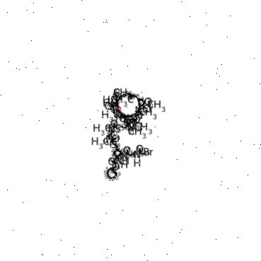 COc1cc2cc(c1Cl)N(C)C(=O)C[C@H](OC(=O)[C@H](C)N(C)C(=O)CCSC(=O)N(C)CCN(C)C(=O)OCc1ccc(NC(=O)OC3/C=C/CCCCC3)c(NC(=O)CCNC(=O)CBr)c1)C1(C)O[C@H]1[C@H](C)[C@@H]1C[C@@](O)(NC(=O)O1)[C@H](OC)/C=C/C=C(\C)C2